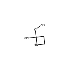 CCCOC1(CCC)CCN1